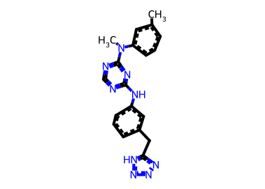 Cc1cccc(N(C)c2ncnc(Nc3cccc(Cc4nnn[nH]4)c3)n2)c1